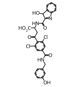 O=C(NC(CC(=O)c1c(Cl)cc(C(=O)NCc2cccc(O)c2)cc1Cl)C(=O)O)C1=Nc2ccccc2C1O